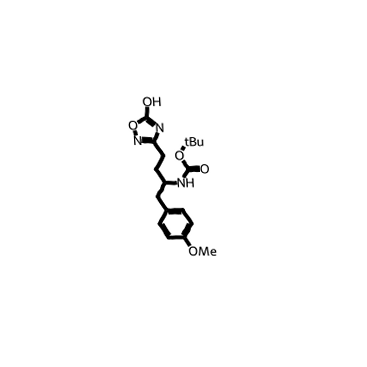 COc1ccc(CC(CCc2noc(O)n2)NC(=O)OC(C)(C)C)cc1